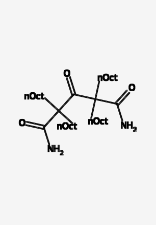 CCCCCCCCC(CCCCCCCC)(C(N)=O)C(=O)C(CCCCCCCC)(CCCCCCCC)C(N)=O